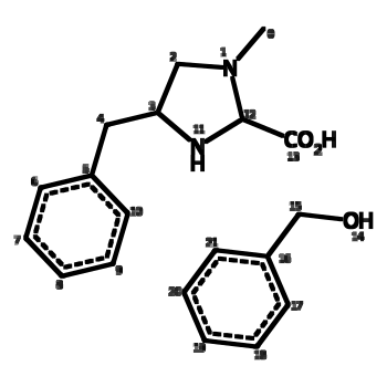 CN1CC(Cc2ccccc2)NC1C(=O)O.OCc1ccccc1